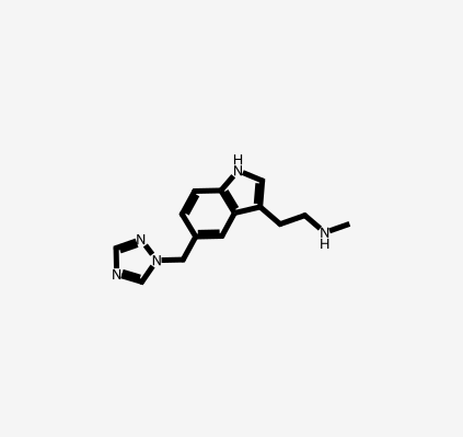 CNCCc1c[nH]c2ccc(Cn3cncn3)cc12